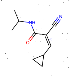 CC(C)NC(=O)/C(C#N)=C\C1CC1